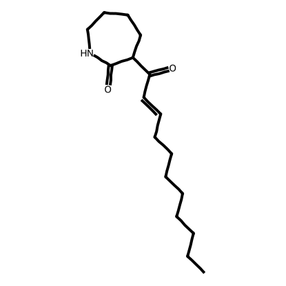 CCCCCCCCC=CC(=O)C1CCCCNC1=O